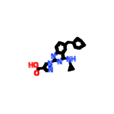 O=C(O)c1cnn(-c2nc(NC3CC3)c3cc(Cc4ccccc4)ccc3n2)c1